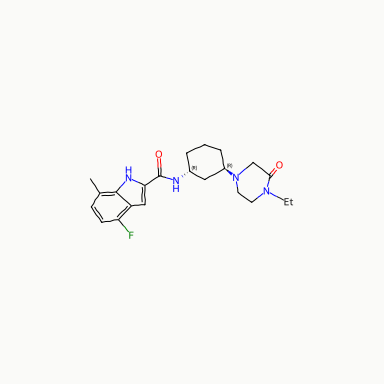 CCN1CCN([C@@H]2CCC[C@@H](NC(=O)c3cc4c(F)ccc(C)c4[nH]3)C2)CC1=O